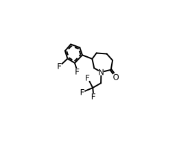 O=C1CCCC(c2cccc(F)c2F)CN1CC(F)(F)F